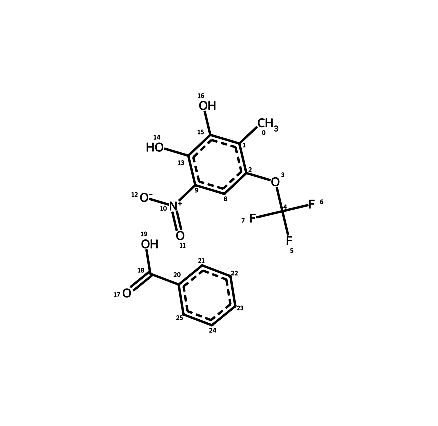 Cc1c(OC(F)(F)F)cc([N+](=O)[O-])c(O)c1O.O=C(O)c1ccccc1